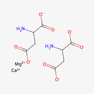 NC(CC(=O)[O-])C(=O)[O-].NC(CC(=O)[O-])C(=O)[O-].[Ca+2].[Mg+2]